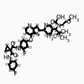 COCCN(C(=O)O)C(c1ccc(-c2cc3nccc(Oc4ccc(NC(=O)C5(C(=O)Nc6ccc(F)cc6)CC5)c(F)c4)c3s2)nc1)C(C)(C)C